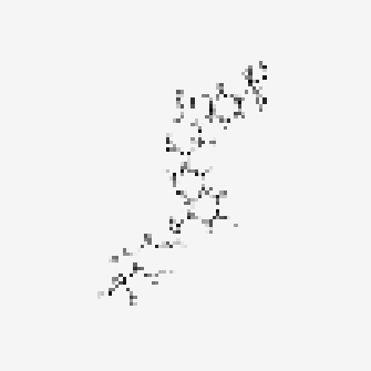 CCS(=O)(=O)c1ccc([C@@H](CO)NC(=O)c2ccc3c(OCC4CCC(C(F)(F)F)CC4)nc(C)cc3c2)cc1